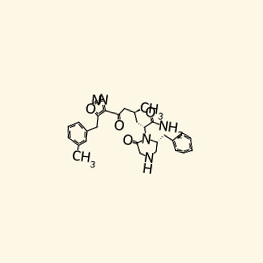 Cc1cccc(Cc2onnc2C(=O)C[C@@H](C)C[C@H](C(N)=O)N2C(=O)CNC[C@H]2Cc2ccccc2)c1